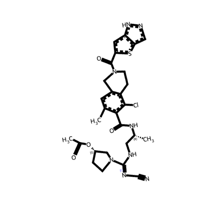 CC(=O)O[C@H]1CCN(/C(=N/C#N)NC[C@@H](C)NC(=O)c2c(C)cc3c(c2Cl)CCN(C(=O)c2cc4[nH]ncc4s2)C3)C1